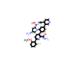 COc1cccc(F)c1-c1ccc(-c2ccc(-c3cnccc3C#N)cc2N2C[C@@H](N)C[C@H]2CO)c(C(N)=O)n1